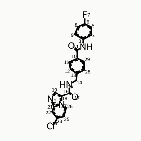 O=C(Nc1ccc(F)cc1)c1ccc(CNC(=O)c2cnc3cc(Cl)ccn23)cc1